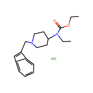 CCOC(=O)N(CC)C1CCN(CC2=Cc3ccccc32)CC1.Cl